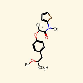 CCO[C@@H](Cc1ccc(OC(C)C(=O)N(CC)c2cccs2)cc1)C(=O)O